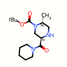 C[C@@H]1CN[C@@H](C(=O)N2CCCCC2)CN1C(=O)OC(C)(C)C